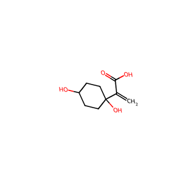 C=C(C(=O)O)C1(O)CCC(O)CC1